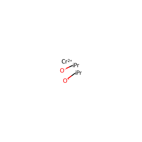 CC(C)[O-].CC(C)[O-].[Cr+2]